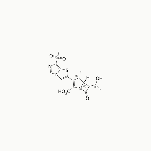 C[C@@H](O)C1C(=O)N2C(C(=O)O)=C(c3cn4cnc(S(C)(=O)=O)c4s3)[C@H](C)[C@H]12